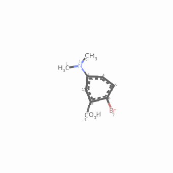 CN(C)c1ccc(Br)c(C(=O)O)c1